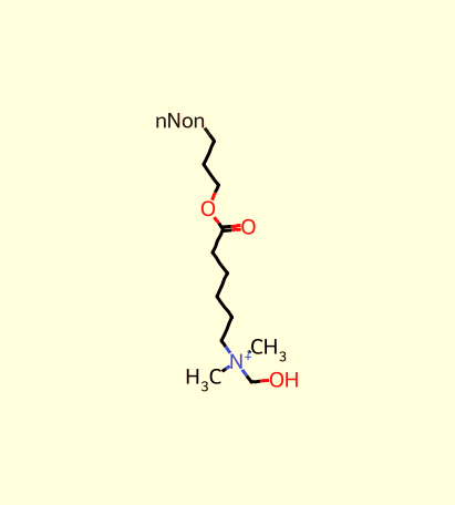 CCCCCCCCCCCCOC(=O)CCCCC[N+](C)(C)CO